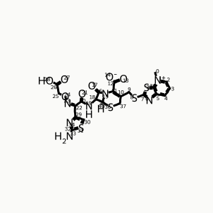 C[n+]1cccc2nc(SCC3=C(C(=O)[O-])N4C(=O)C(NC(=O)/C(=N\OCC(=O)O)c5csc(N)n5)[C@@H]4SC3)sc21